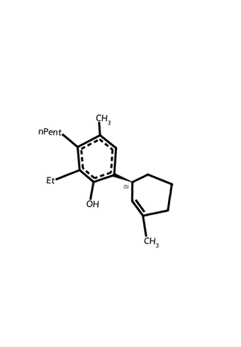 CCCCCc1c(C)cc([C@@H]2C=C(C)CCC2)c(O)c1CC